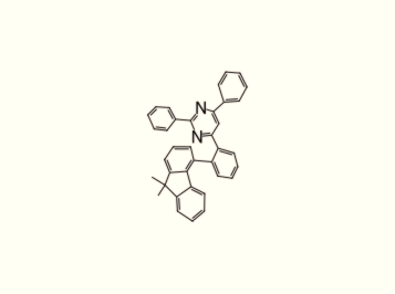 CC1(C)c2ccccc2-c2c(-c3ccccc3-c3cc(-c4ccccc4)nc(-c4ccccc4)n3)cccc21